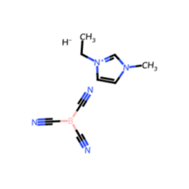 CC[n+]1ccn(C)c1.N#CB(C#N)C#N.[H-]